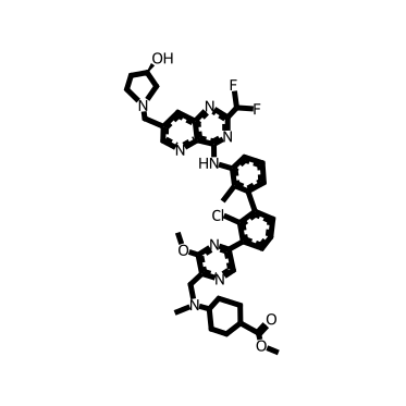 COC(=O)C1CCC(N(C)Cc2ncc(-c3cccc(-c4cccc(Nc5nc(C(F)F)nc6cc(CN7CC[C@@H](O)C7)cnc56)c4C)c3Cl)nc2OC)CC1